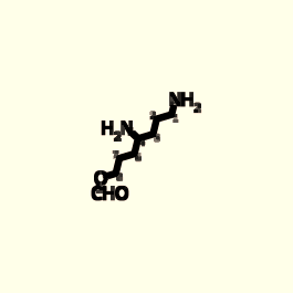 NCCCC(N)CCCOC=O